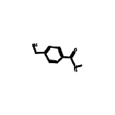 CNC(=O)c1ccc(CS)cc1